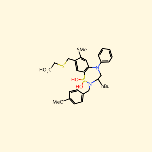 CCCCC1CN(c2ccccc2)c2cc(SC)c(CSCC(=O)O)cc2S(O)(O)N1Cc1ccc(OC)cc1